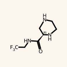 O=C(NCC(F)(F)F)[C@H]1CNCCN1